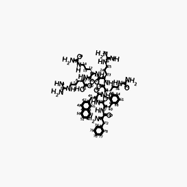 N=C(N)NCCC[C@@H](NC(=O)[C@H](CCCNC(N)=O)NC(=O)[C@@H](CCCNC(=N)N)NC(=O)[C@H](CCCNC(N)=O)NC(=O)[C@H](Cc1ccc2ccccc2c1)NC(=O)[C@@H](Cc1ccccc1)NC(=O)[C@@H](N)Cc1ccccc1)C(=O)O